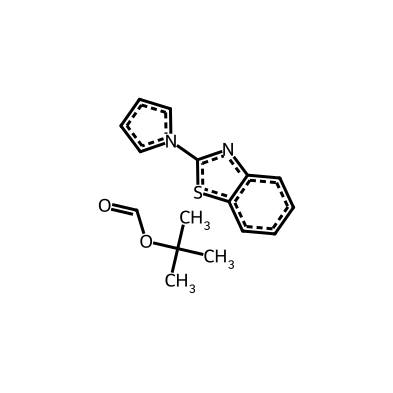 CC(C)(C)OC=O.c1ccc2sc(-n3cccc3)nc2c1